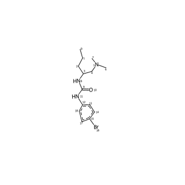 CCCC(CN(C)C)NC(=O)Nc1ccc(Br)cc1